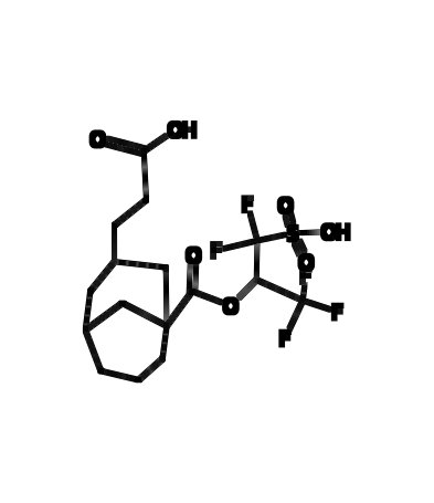 O=C(O)CCC1CC2CCCC(C(=O)OC(C(F)(F)F)C(F)(F)S(=O)(=O)O)(C2)C1